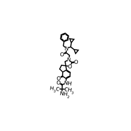 CC(C)(N)C(=O)NC1=CC=C2C(CCC23CN(CC(=O)N(Cc2ccccc2)C(C2CC2)C2CC2)C(=O)O3)C1=O